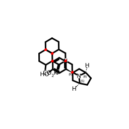 O=C(O)C1CCCCC1C(=O)N(CCN1[C@@H]2CC[C@H]1C[C@@H](c1cccc(O)c1)C2)CC1CCCCC1